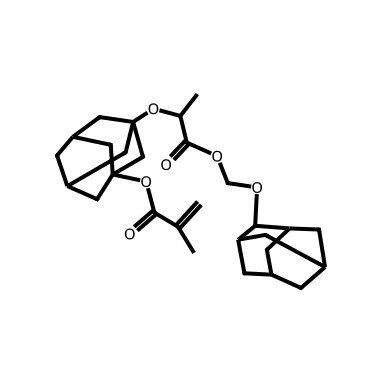 C=C(C)C(=O)OC12CC3CC(C1)CC(OC(C)C(=O)OCOC1C4CC5CC(C4)CC1C5)(C3)C2